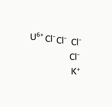 [Cl-].[Cl-].[Cl-].[Cl-].[K+].[U+6]